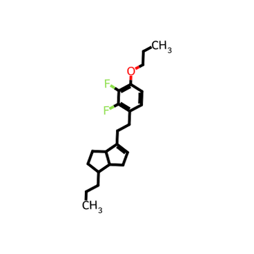 CCCOc1ccc(CCC2=CCC3C(CCC)CCC23)c(F)c1F